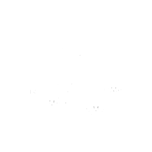 COc1cc2c(c(OC)c1OC)C(CBr)SCC(C)C2